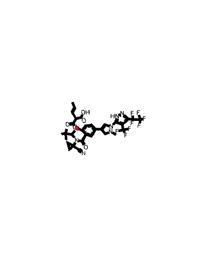 C/C=C/C(C(=O)O)C(=O)OC(N(C(=O)c1cc(C2=CN(c3[nH]nc(C(F)(F)C(F)(F)F)c3C(F)(F)F)N(C)C2)ccc1Cl)C1(C#N)CC1)C(C)(C)C